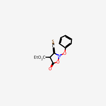 CCOC(=O)C1C(=O)ON(Oc2ccccc2)C1=C=S